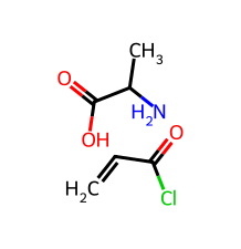 C=CC(=O)Cl.CC(N)C(=O)O